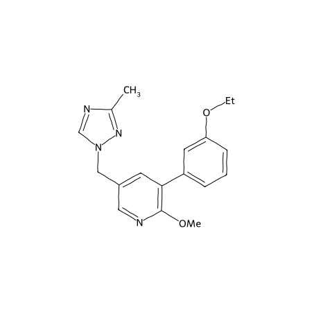 CCOc1cccc(-c2cc(Cn3cnc(C)n3)cnc2OC)c1